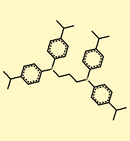 CC(C)c1ccc(P(CCCP(c2ccc(C(C)C)cc2)c2ccc(C(C)C)cc2)c2ccc(C(C)C)cc2)cc1